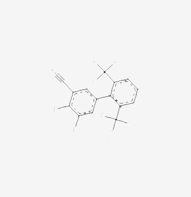 N#Cc1cc(-c2c(C(F)(F)F)cccc2C(F)(F)F)cc(F)c1F